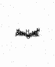 Cc1ccc(OC(C)C)c(-c2ccc(N3CC[C@@H](CNC(=O)c4ccc(-c5nc6cc(C#N)cc(C(C)C)c6o5)cc4)C3)nc2)c1